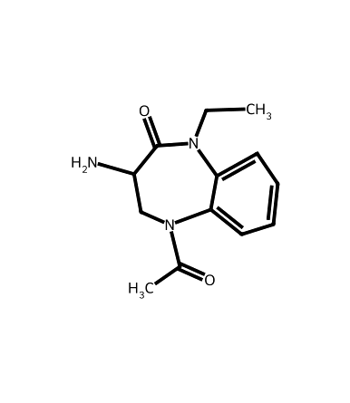 CCN1C(=O)C(N)CN(C(C)=O)c2ccccc21